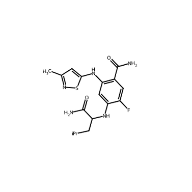 Cc1cc(Nc2cc(NC(CC(C)C)C(N)=O)c(F)cc2C(N)=O)sn1